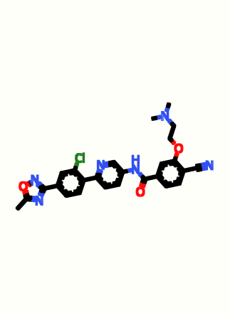 Cc1nc(-c2ccc(-c3ccc(NC(=O)c4ccc(C#N)c(OCCN(C)C)c4)cn3)c(Cl)c2)no1